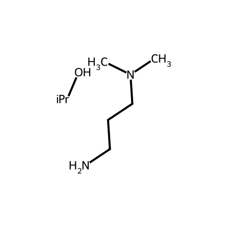 CC(C)O.CN(C)CCCN